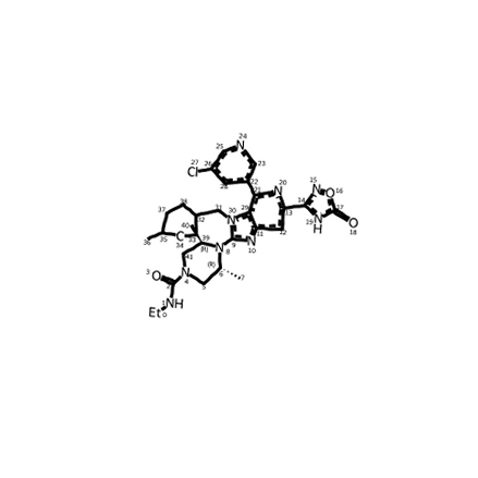 CCNC(=O)N1C[C@@H](C)N(c2nc3cc(-c4noc(=O)[nH]4)nc(-c4cncc(Cl)c4)c3n2CC2CCC(C)CC2)[C@H](C)C1